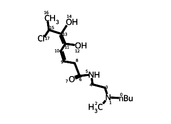 CCCCN(C)CCNC(=O)C/C=C\C(O)=C(\O)C(C)Cl